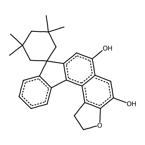 CC1(C)CC(C)(C)CC2(C1)c1ccccc1-c1c2cc(O)c2cc(O)c3c(c12)CCO3